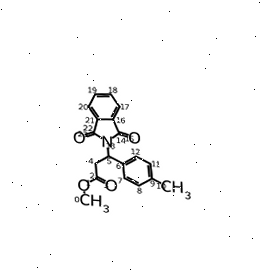 COC(=O)CC(c1ccc(C)cc1)N1C(=O)c2ccccc2C1=O